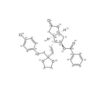 O=C1C[C@@H]2[C@@H](/C=C/C3(COc4ccc(Cl)cc4)OCCO3)[C@H](OC(=O)c3ccccc3)C[C@@H]2O1